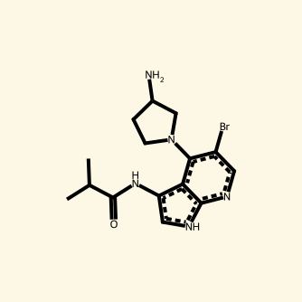 CC(C)C(=O)Nc1c[nH]c2ncc(Br)c(N3CCC(N)C3)c12